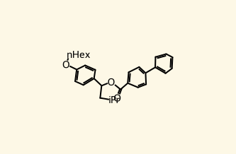 CCCCCCOc1ccc(C(CC(C)C)OC(=O)c2ccc(-c3ccccc3)cc2)cc1